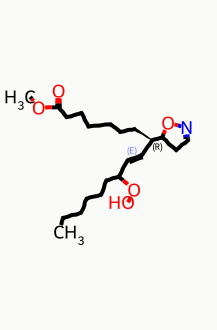 CCCCCCC(/C=C/[C@@H](CCCCCCC(=O)OC)C1CC=NO1)OO